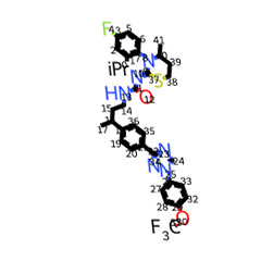 CC(C)c1cc(F)ccc1N1/C(=N/C(=O)NCCC(C)c2ccc(-c3ncn(-c4ccc(OC(F)(F)F)cc4)n3)cc2)SCCC1C